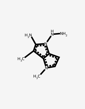 Cc1c(N)n(NN)c2ccn(C)c12